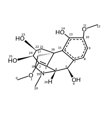 COC1=C2[C@@H]3[C@H](O)c4ccc(OC)c(O)c4[C@]2(CCN3C)C[C@H](O)[C@@H]1O